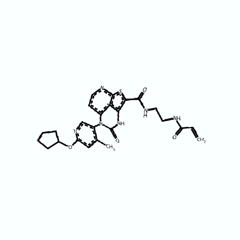 C=CC(=O)NCCNC(=O)c1sc2nccc3c2c1NC(=O)N3c1cnc(OC2CCCC2)cc1C